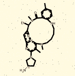 CCC1c2cc3nc(N4CC[C@H](N)C4)c(C)c(n3n2)N(C)CCCCNc2ccc(C)cc2C(=O)N1C